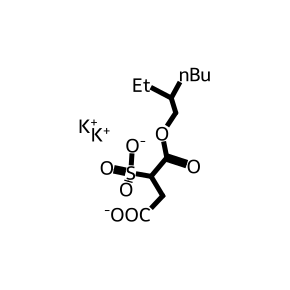 CCCCC(CC)COC(=O)C(CC(=O)[O-])S(=O)(=O)[O-].[K+].[K+]